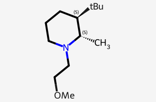 COCCN1CCC[C@@H](C(C)(C)C)[C@@H]1C